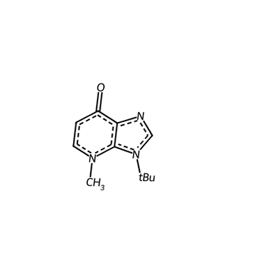 Cn1ccc(=O)c2ncn(C(C)(C)C)c21